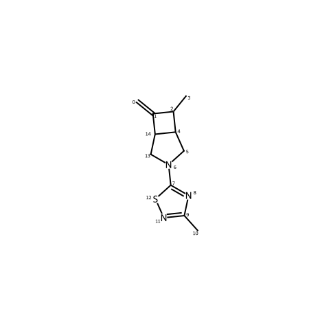 C=C1C(C)C2CN(c3nc(C)ns3)CC12